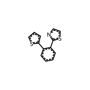 c1csc(-c2ccccc2-c2nccs2)c1